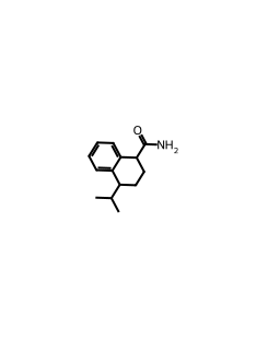 CC(C)C1CCC(C(N)=O)c2ccccc21